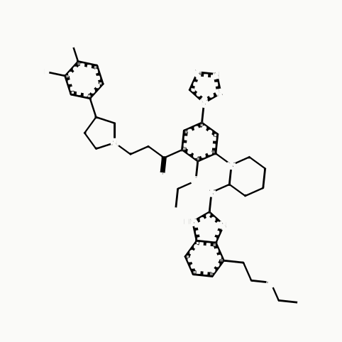 CCOCCc1cccc2[nH]c(NC3CCCCN3c3cc(-n4cnnn4)cc(C(=O)CCN4CCC(c5ccc(F)c(F)c5)C4)c3OCC)nc12